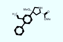 C=Cc1cc([C@@]2(OC)CN[C@H](C(=O)OC)C2)ccc1-c1ccccc1